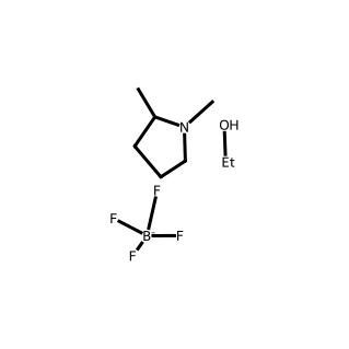 CC1CCCN1C.CCO.F[B-](F)(F)F